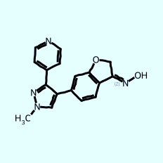 Cn1cc(-c2ccc3c(c2)OC/C3=N\O)c(-c2ccncc2)n1